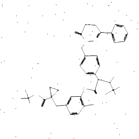 CC(C(C(=O)Nc1cc(CC2(C(=O)OC(C)(C)C)CC2)ccc1F)c1ccc(CN2N=C(c3ccccc3)CCC2=O)cc1)C(F)(F)F